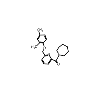 Cc1ccc(OCc2cccc(C(=O)N3CCCCCC3)n2)c(C)c1